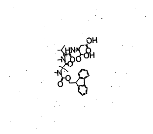 CC(C)[C@@H](C(=O)N[C@@H](CC(=O)O)C(=O)O)N(C)C(=O)C(C)(C)N(C)C(=O)OCC1c2ccccc2-c2ccccc21